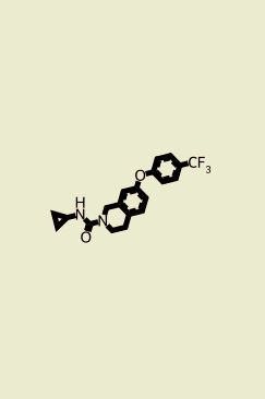 O=C(NC1CC1)N1CCc2ccc(Oc3ccc(C(F)(F)F)cc3)cc2C1